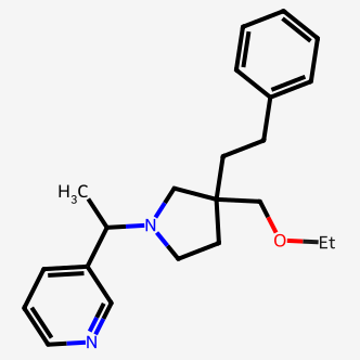 CCOCC1(CCc2ccccc2)CCN(C(C)c2cccnc2)C1